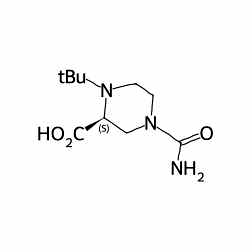 CC(C)(C)N1CCN(C(N)=O)C[C@H]1C(=O)O